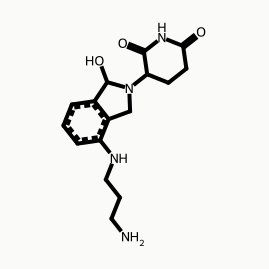 NCCCNc1cccc2c1CN(C1CCC(=O)NC1=O)C2O